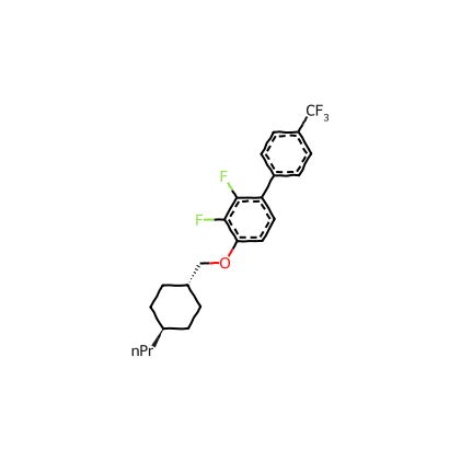 CCC[C@H]1CC[C@H](COc2ccc(-c3ccc(C(F)(F)F)cc3)c(F)c2F)CC1